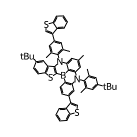 Cc1cc2c3c(c1)N(c1c(C)cc(-c4csc5ccccc45)cc1C)c1c(sc4ccc(C(C)(C)C)cc14)B3c1ccc(-c3csc4ccccc34)cc1N2c1c(C)cc(C(C)(C)C)cc1C